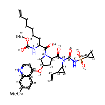 C=CCCCCCC(NC(=O)OC(C)(C)C)C(=O)N1CC(Oc2ccnc3cc(OC)ccc23)CC1C(=O)N(C(=O)NS(=O)(=O)C1CC1)C1CC1C=C